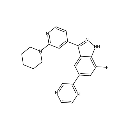 Fc1cc(-c2cnccn2)cc2c(-c3ccnc(N4CCCCC4)c3)n[nH]c12